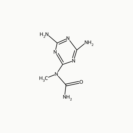 CN(C(N)=O)c1nc(N)nc(N)n1